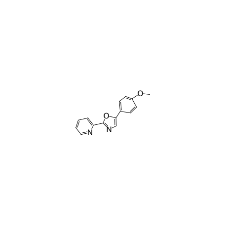 COc1ccc(-c2cnc(-c3ccccn3)o2)cc1